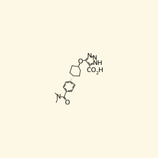 CN(C)C(=O)c1ccc([C@H]2CC[C@H](Oc3nn[nH]c3C(=O)O)CC2)cc1